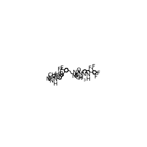 Cn1ncnc1C(=O)Nc1ccc2cc(-c3cc(CCc4nc(C(=O)Nc5ccc6cc(-c7cc(F)c(F)cc7C(F)F)[nH]c6n5)n(C)n4)ccc3C(F)(F)F)[nH]c2n1